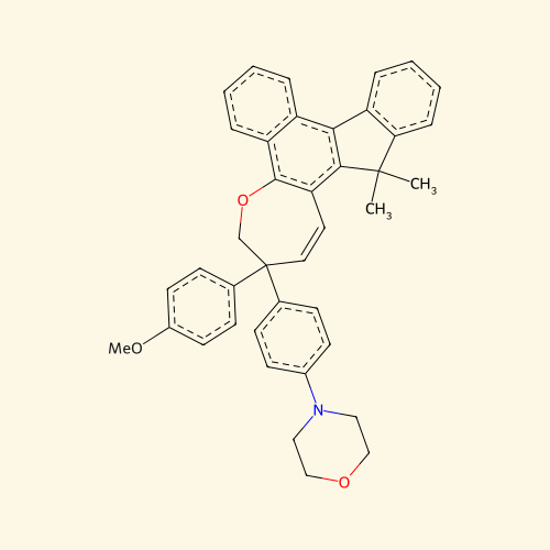 COc1ccc(C2(c3ccc(N4CCOCC4)cc3)C=Cc3c4c(c5ccccc5c3OC2)-c2ccccc2C4(C)C)cc1